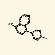 Cc1ccc(-c2ccc(I)cc2)c2ccccc12